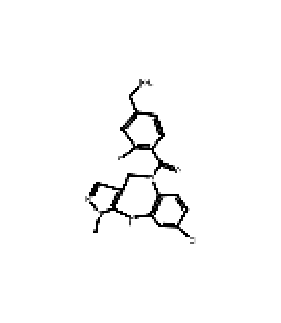 Cn1ncc2c1Nc1cc(Cl)ccc1N(C(=O)c1ccc(CN)cc1F)C2